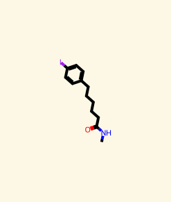 CNC(=O)CCCCCc1ccc(I)cc1